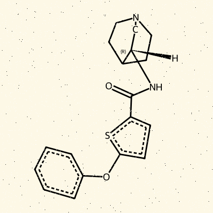 O=C(N[C@H]1CN2CCC1CC2)c1ccc(Oc2ccccc2)s1